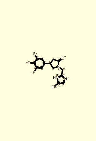 O=C1CC(c2cc(F)c(F)c(F)c2)CN1Cc1ncc(Cl)[nH]1